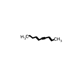 CC=CC#CC=CCCC